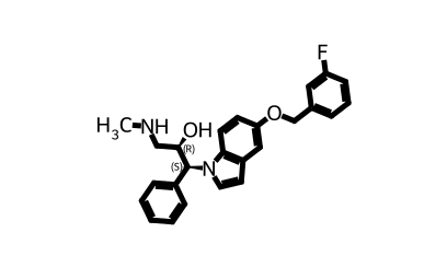 CNC[C@@H](O)[C@H](c1ccccc1)n1ccc2cc(OCc3cccc(F)c3)ccc21